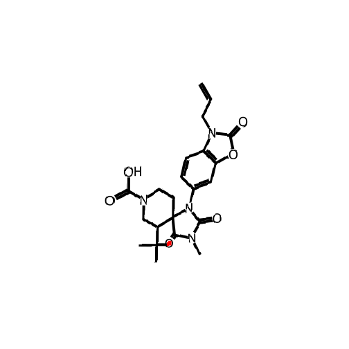 C=CCn1c(=O)oc2cc(N3C(=O)N(C)C(=O)C34CCN(C(=O)O)CC4C(C)(C)C)ccc21